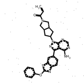 C=CC(=O)N1CC2CC(n3nc(-c4ccc5nc(Oc6ccccc6)sc5c4)c4c(N)ncnc43)CC2C1